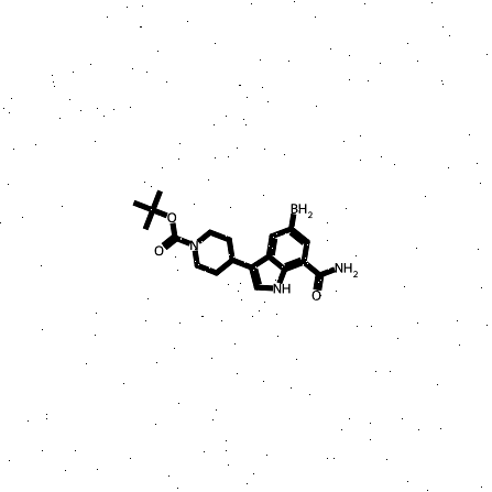 Bc1cc(C(N)=O)c2[nH]cc(C3CCN(C(=O)OC(C)(C)C)CC3)c2c1